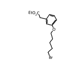 CCOC(=O)Cc1cccc(OCCCCCBr)c1